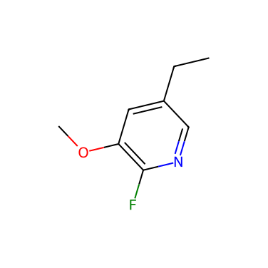 CCc1cnc(F)c(OC)c1